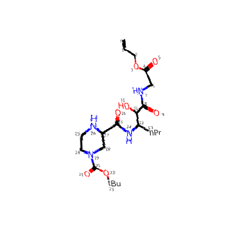 C=CCOC(=O)CNC(=O)C(O)C(CCC)NC(=O)C1CN(C(=O)OC(C)(C)C)CCN1